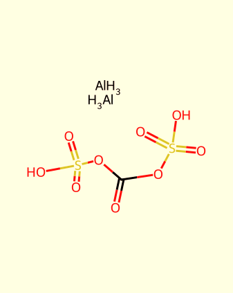 O=C(OS(=O)(=O)O)OS(=O)(=O)O.[AlH3].[AlH3]